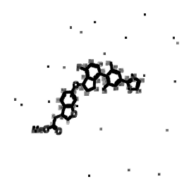 COC(=O)C[C@@H]1COc2cc(O[C@@H]3CCc4c(-c5c(C)cc(-c6nccs6)cc5C)ccc(F)c43)ccc21